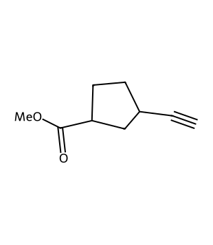 C#CC1CCC(C(=O)OC)C1